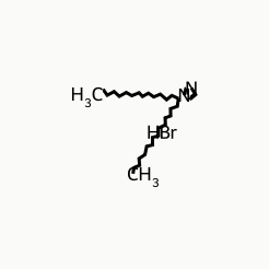 Br.CCCCCCCCCCCCCCCC(CCCCCCCCCCCCCC)n1ccnc1